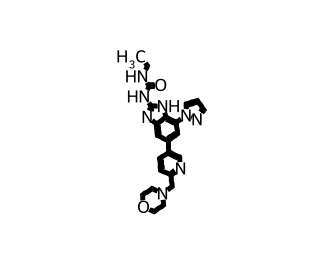 CCNC(=O)Nc1nc2cc(-c3ccc(CN4CCOCC4)nc3)cc(-n3cccn3)c2[nH]1